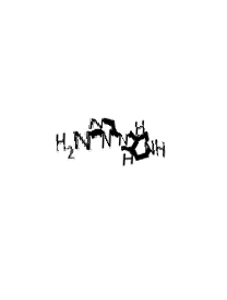 Nc1nccc(N2C[C@H]3CCNC[C@@H]3C2)n1